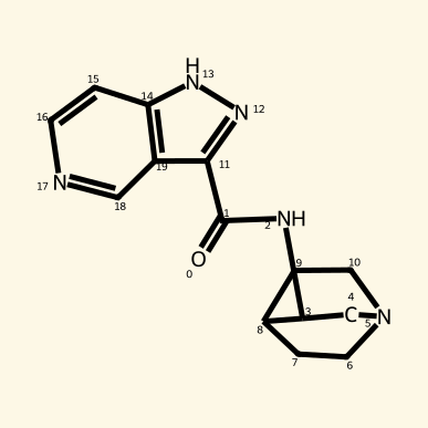 O=C(NC1CN2CCC1CC2)c1n[nH]c2ccncc12